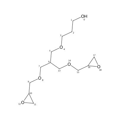 OCCCOCC(COCC1CO1)COCC1CO1